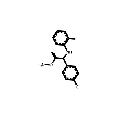 COC(=O)C(Nc1ccccc1F)c1ccc(C)cc1